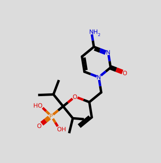 C=CC(Cn1ccc(N)nc1=O)OC(C(C)C)(C(C)C)P(=O)(O)O